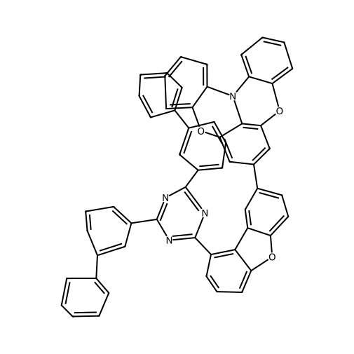 c1ccc(-c2cccc(-c3nc(-c4cccc(-c5ccccc5)c4)nc(-c4cccc5oc6ccc(-c7cc8c9c(c7)Oc7ccccc7N9c7ccccc7O8)cc6c45)n3)c2)cc1